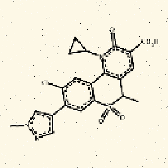 CC1c2cc(C(=O)O)c(=O)n(C3CC3)c2-c2cc(Cl)c(-c3cnn(C)c3)cc2S1(=O)=O